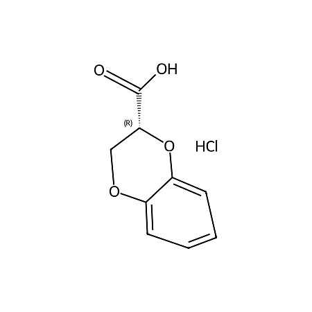 Cl.O=C(O)[C@H]1COc2ccccc2O1